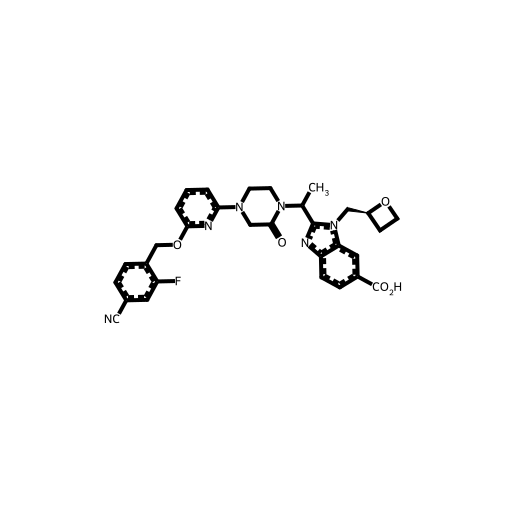 CC(c1nc2ccc(C(=O)O)cc2n1C[C@@H]1CCO1)N1CCN(c2cccc(OCc3ccc(C#N)cc3F)n2)CC1=O